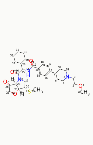 COCCN1CCC(c2ccc(C(=O)N[C@H](C(=O)N3C[C@H](SC)[C@H]4OCC(=O)[C@H]43)C3CCCCC3)cc2)CC1